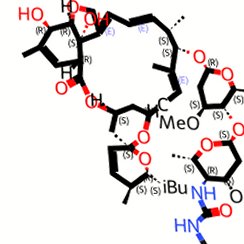 CCCNC(=O)N[C@@H]1[C@H](C)O[C@@H](O[C@H]2[C@H](C)O[C@@H](O[C@@H]3/C(C)=C/C[C@@H]4C[C@@H](C[C@]5(C=C[C@H](C)[C@@H]([C@@H](C)CC)O5)O4)OC(=O)[C@@H]4C=C(C)[C@@H](O)[C@H]5OC/C(=C\C=C\[C@@H]3C)[C@]54O)C[C@@H]2OC)C[C@@H]1OC